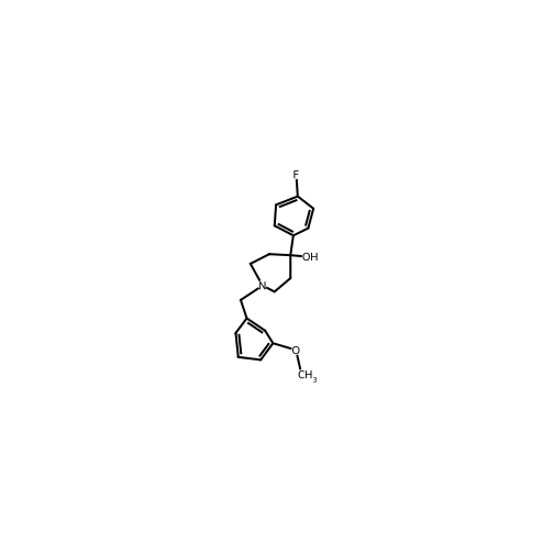 COc1cccc(CN2CCC(O)(c3ccc(F)cc3)CC2)c1